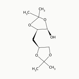 CC1(C)OC[C@H](C[C@H]2OC(C)(C)O[C@H]2O)O1